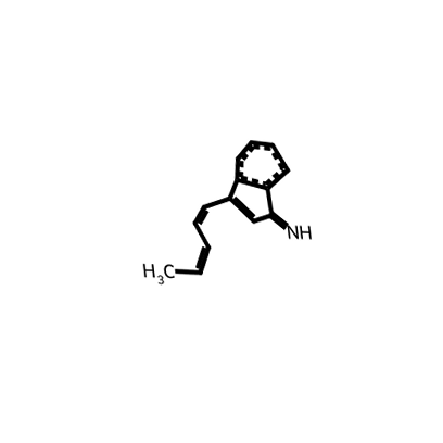 C/C=C\C=C/C1=CC(=N)c2ccccc21